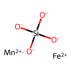 [Fe+2].[Mn+2].[O-][Si]([O-])([O-])[O-]